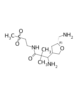 CC(C)(C(=O)NCCS(C)(=O)=O)C(N)C1CO[C@@H](CN)C1